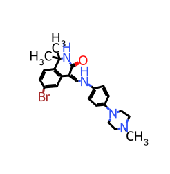 CN1CCN(c2ccc(N/C=C3\C(=O)NC(C)(C)c4ccc(Br)cc43)cc2)CC1